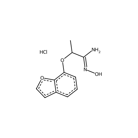 CC(Oc1cccc2ccoc12)C(N)=NO.Cl